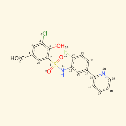 O=C(O)c1cc(Cl)c(O)c(S(=O)(=O)Nc2cc(-c3ccccn3)ccc2F)c1